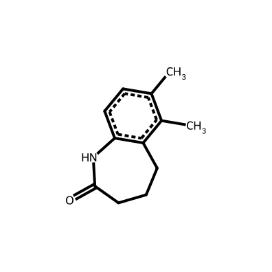 Cc1ccc2c(c1C)CCCC(=O)N2